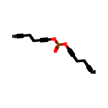 C#CCCC#COS(=O)OC#CCCC#C